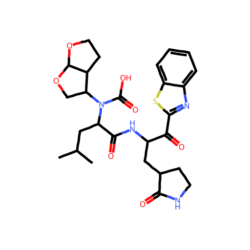 CC(C)CC(C(=O)NC(CC1CCNC1=O)C(=O)c1nc2ccccc2s1)N(C(=O)O)C1COC2OCCC21